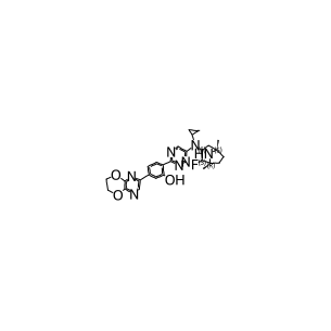 C[C@@]12CC[C@@](C)(N1)[C@@H](F)[C@@H](N(c1cnc(-c3ccc(-c4cnc5c(n4)OCCO5)cc3O)nn1)C1CC1)C2